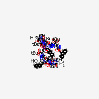 C[C@@H](C(=O)N[C@H](C(=O)N1CC[C@H](OCc2cn([C@@H](CCNC(=O)[C@H](Cc3ccc4ccccc4c3)NC(=O)[C@@H]3[C@@H](OCc4cn([C@@H](CCNC(=O)OCC5c6ccccc6-c6ccccc65)C(=O)OC(C)(C)C)nn4)CCN3C(=O)[C@@H](NC(=O)[C@H](C)N(C)C(=O)OC(C)(C)C)C(C)(C)C)C(=O)OC(C)(C)C)nn2)[C@H]1C(=O)N[C@@H](Cc1ccc2ccccc2c1)C(=O)O)C(C)(C)C)N(C)C(=O)OC(C)(C)C